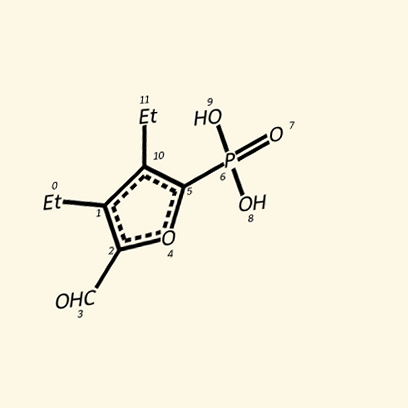 CCc1c(C=O)oc(P(=O)(O)O)c1CC